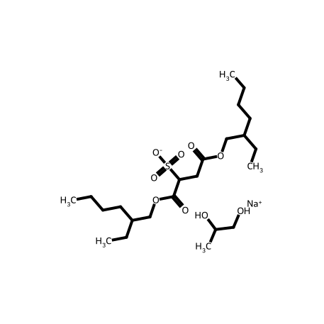 CC(O)CO.CCCCC(CC)COC(=O)CC(C(=O)OCC(CC)CCCC)S(=O)(=O)[O-].[Na+]